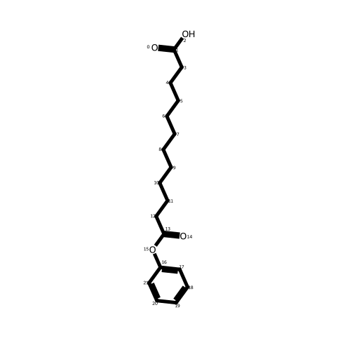 O=C(O)CCCCCCCCCCC(=O)Oc1ccccc1